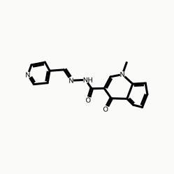 Cn1cc(C(=O)N/N=C/c2ccncc2)c(=O)c2ccccc21